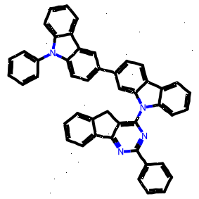 c1ccc(-c2nc3c(c(-n4c5ccccc5c5ccc(-c6ccc7c(c6)c6ccccc6n7-c6ccccc6)cc54)n2)Cc2ccccc2-3)cc1